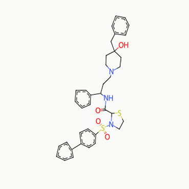 O=C(NC(CCN1CCC(O)(Cc2ccccc2)CC1)c1ccccc1)C1SCCN1S(=O)(=O)c1ccc(-c2ccccc2)cc1